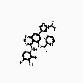 C[C@H](Oc1cc(-c2cnn(C(F)F)c2)cc2ncnc(Nc3ccc(F)c(Cl)c3F)c12)c1ncccn1